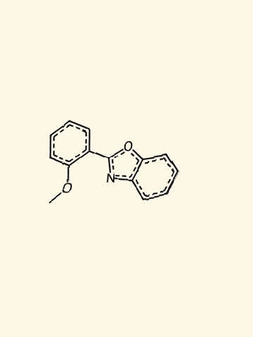 COc1ccccc1-c1nc2ccccc2o1